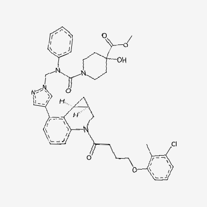 COC(=O)C1(O)CCN(C(=O)N(Cn2cc(-c3cccc4c3[C@H]3C[C@H]3CN4C(=O)CCCOc3cccc(Cl)c3C)cn2)c2ccccc2)CC1